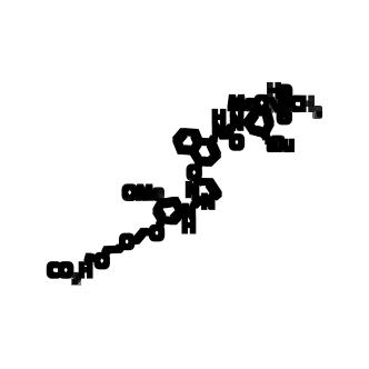 COc1cc(Nc2nccc(Oc3ccc(NC(=O)Nc4cc(C(C)(C)C)cc(NS(C)(=O)=O)c4OC)c4ccccc34)n2)cc(OCCOCCOCC(=O)O)c1